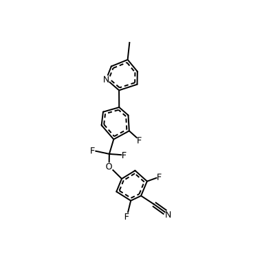 Cc1ccc(-c2ccc(C(F)(F)Oc3cc(F)c(C#N)c(F)c3)c(F)c2)nc1